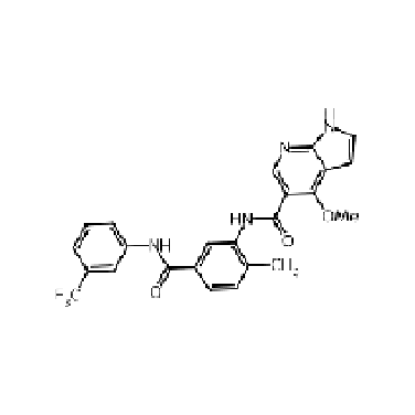 COc1c(C(=O)Nc2cc(C(=O)Nc3cccc(C(F)(F)F)c3)ccc2C)cnc2[nH]ccc12